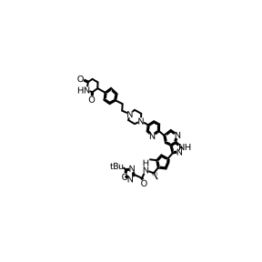 Cc1cc(-c2n[nH]c3ncc(-c4ccc(N5CCN(CCc6ccc(C7CCC(=O)NC7=O)cc6)CC5)cn4)cc23)ccc1[C@@H](C)NC(=O)c1noc(C(C)(C)C)n1